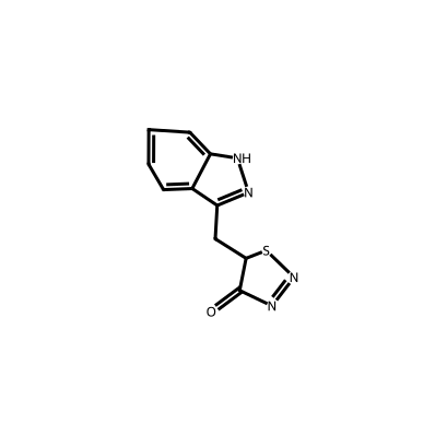 O=C1N=NSC1Cc1n[nH]c2ccccc12